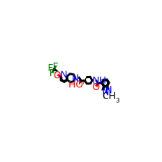 Cn1cc2c(C(=O)N[C@H]3CC[C@H]([C@@H](O)CN4CCc5ccc(OCC(F)(F)F)nc5CC4)CC3)cccc2n1